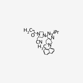 C=CC(=O)N1CCN(c2nc(C(C)C)nc3c2CCN(c2cccc4cccc(C)c24)C3)CC1CC#N